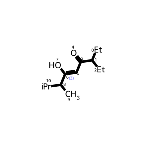 CCC(CC)C(=O)/C=C(\O)C(C)C(C)C